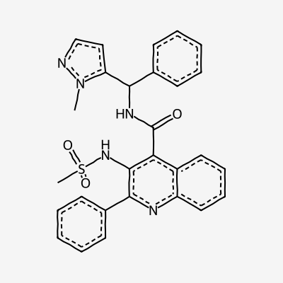 Cn1nccc1C(NC(=O)c1c(NS(C)(=O)=O)c(-c2ccccc2)nc2ccccc12)c1ccccc1